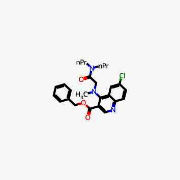 CCCN(CCC)C(=O)CN(C)c1c(C(=O)OCc2ccccc2)cnc2ccc(Cl)cc12